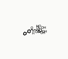 O=C(CNC(=O)c1ccc(-c2ccccc2)cc1)NC12OC[C@]1(O)C(O)[C@H](O)C2CO